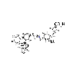 CCc1cc(/C(C)=N/OCc2ccc(C3CCCCC3)c(B3OC(C)(C)C(C)(C)O3)c2)ccc1CC1CC(C(=O)O)C1